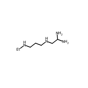 CCNCCCNCC(N)N